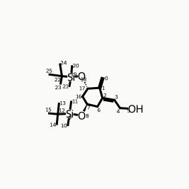 C=C1/C(=C/CO)C[C@@H](O[Si](C)(C)C(C)(C)C)C[C@@H]1O[Si](C)(C)C(C)(C)C